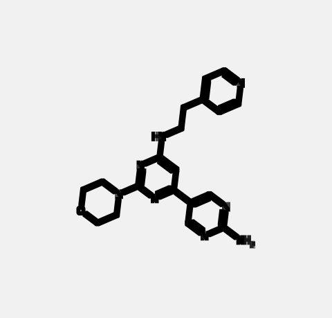 Nc1ncc(-c2cc(NCCc3ccncc3)nc(N3CCOCC3)n2)cn1